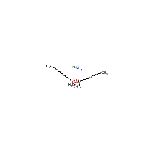 CCCCCCCCCCCCCCCCCC(=O)OC(C)(OC(=O)CCCCCCCCCCCCCCCCC)C(C)(C)C.Cl.N